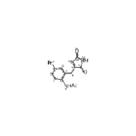 CC(=O)Nc1ccc(Br)cc1CC1=NC(=O)NC1=O